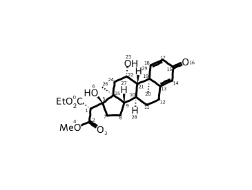 CCOC(=O)[C@@H](C(=O)OC)[C@@]1(O)CC[C@H]2[C@@H]3CCC4=CC(=O)C=C[C@]4(C)[C@H]3[C@@H](O)C[C@@]21C